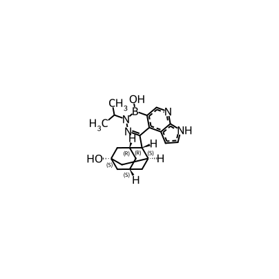 CC(C)N1N=C([C@H]2[C@@H]3C[C@@H]4C[C@H]2C[C@@](O)(C4)C3)c2c(cnc3[nH]ccc23)B1O